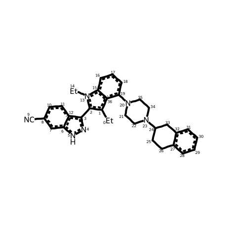 CCc1c(-c2n[nH]c3cc(C#N)ccc23)n(CC)c2cccc(N3CCN(C4CCc5ccccc5C4)CC3)c12